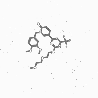 COCCOCCSc1nc(-c2ccc(=O)n(Cc3ccc(OC)c(OC)c3)c2)cc(C(F)(F)F)n1